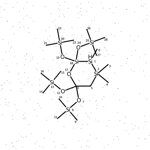 C[SiH]1[Si](C)(C)CC(O[Si](C)(C)C)(O[Si](C)(C)C)O[Si]1(O[Si](C)(C)C)O[Si](C)(C)C